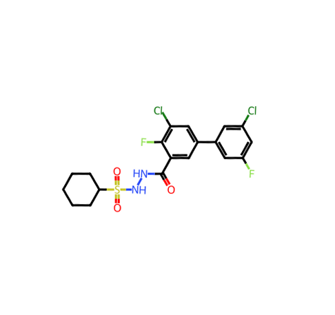 O=C(NNS(=O)(=O)C1CCCCC1)c1cc(-c2cc(F)cc(Cl)c2)cc(Cl)c1F